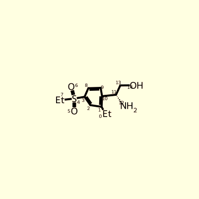 CCc1cc(S(=O)(=O)CC)ccc1[C@@H](N)CO